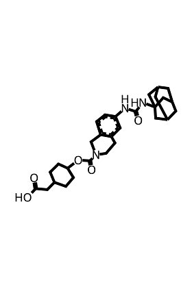 O=C(O)CC1CCC(OC(=O)N2CCc3cc(NC(=O)NC45CC6CC(CC(C6)C4)C5)ccc3C2)CC1